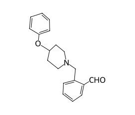 O=Cc1ccccc1CN1CCC(Oc2ccccc2)CC1